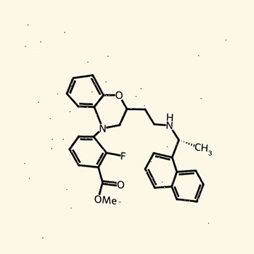 COC(=O)c1cccc(N2CC(CCN[C@H](C)c3cccc4ccccc34)Oc3ccccc32)c1F